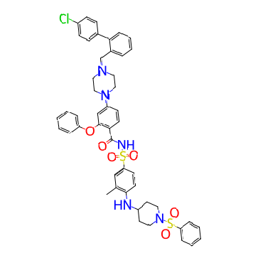 Cc1cc(S(=O)(=O)NC(=O)c2ccc(N3CCN(Cc4ccccc4-c4ccc(Cl)cc4)CC3)cc2Oc2ccccc2)ccc1NC1CCN(S(=O)(=O)c2ccccc2)CC1